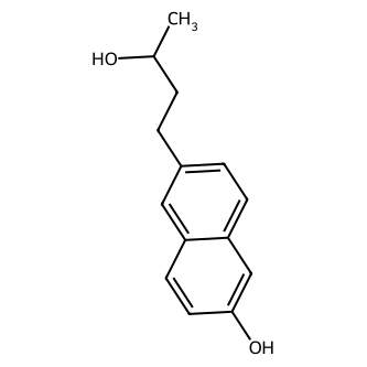 CC(O)CCc1ccc2cc(O)ccc2c1